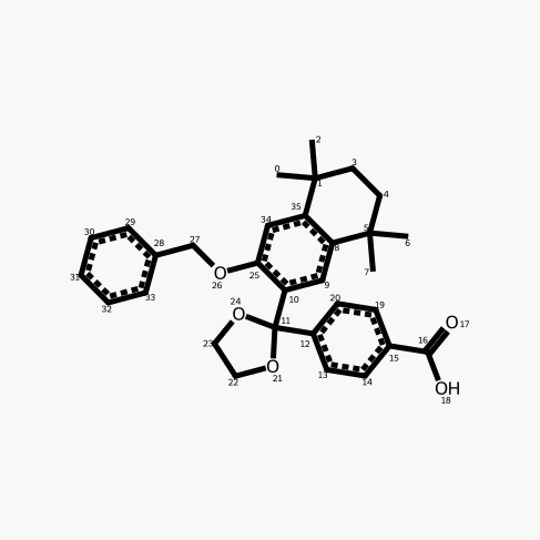 CC1(C)CCC(C)(C)c2cc(C3(c4ccc(C(=O)O)cc4)OCCO3)c(OCc3ccccc3)cc21